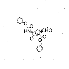 O=CN1CC2[C@@H](NC(=O)COc3ccccc3)C(=O)N2C1C(=O)OCc1ccccc1